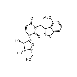 COc1cccc2onc(Cn3c(=O)ccn([C@@H]4O[C@H](CO)[C@H](O)C4O)c3=O)c12